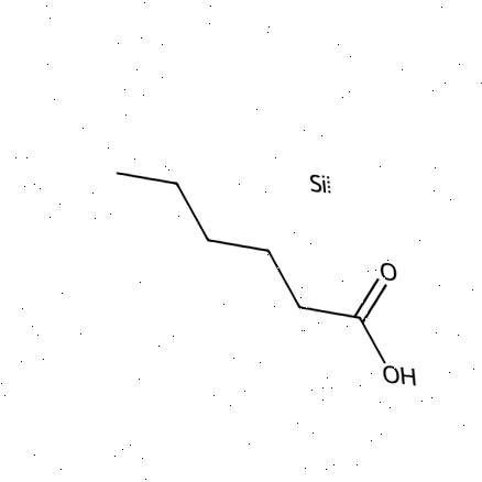 CCCCCC(=O)O.[Si]